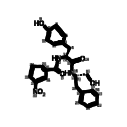 O=C(N[C@@H](Cc1ccc(O)cc1)C(=O)N[C@H](CO)Cc1ccccc1)c1cccc([N+](=O)[O-])c1